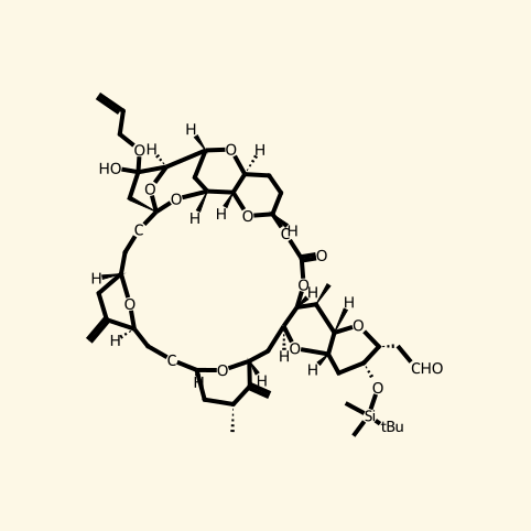 C=CCOC1(O)C[C@]23CC[C@H]4CC(=C)[C@H](CC[C@H]5C[C@@H](C)C(=C)[C@@H](C[C@@H]6O[C@H]7C[C@@H](O[Si](C)(C)C(C)(C)C)[C@@H](CC=O)O[C@H]7[C@H](C)[C@H]6OC(=O)C[C@H]6CC[C@@H]7O[C@H](C[C@@H](O2)[C@H]7O6)[C@H]1O3)O5)O4